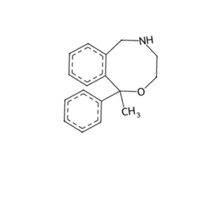 CC1(c2ccccc2)OCCNCc2ccccc21